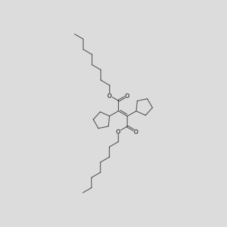 CCCCCCCCOC(=O)C(=C(C(=O)OCCCCCCCC)C1CCCC1)C1CCCC1